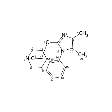 Cc1nc(OC2CN3CCC2CC3)n(-c2ccccc2)c1C